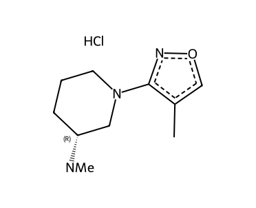 CN[C@@H]1CCCN(c2nocc2C)C1.Cl